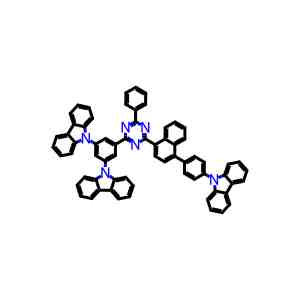 c1ccc(-c2nc(-c3cc(-n4c5ccccc5c5ccccc54)cc(-n4c5ccccc5c5ccccc54)c3)nc(-c3ccc(-c4ccc(-n5c6ccccc6c6ccccc65)cc4)c4ccccc34)n2)cc1